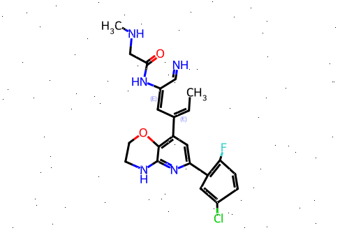 C/C=C(\C=C(/C=N)NC(=O)CNC)c1cc(-c2cc(Cl)ccc2F)nc2c1OCCN2